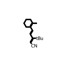 CC1=C(/C=C/C(=C/C#N)C(C)(C)C)CCCC1